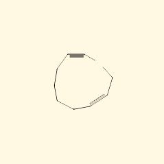 [CH]1C/C=C\CC/C=C\CC1